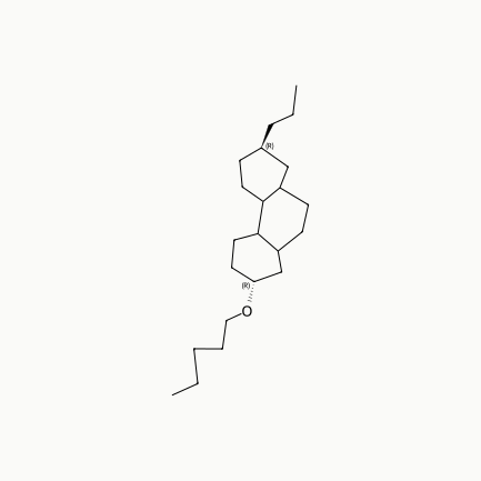 CCCCCO[C@@H]1CCC2C(CCC3C[C@H](CCC)CCC32)C1